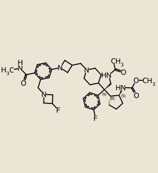 CNC(=O)c1ccc(N2CC(CN3CCC([C@@](CNC(C)=O)(c4cccc(F)c4)[C@H]4CCC[C@@H]4NC(=O)OC)CC3)C2)cc1CN1CC(F)C1